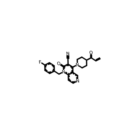 C=CC(=O)C1CCN(c2c(C#N)c(=O)n(Cc3ccc(F)cc3)c3ccncc23)CC1